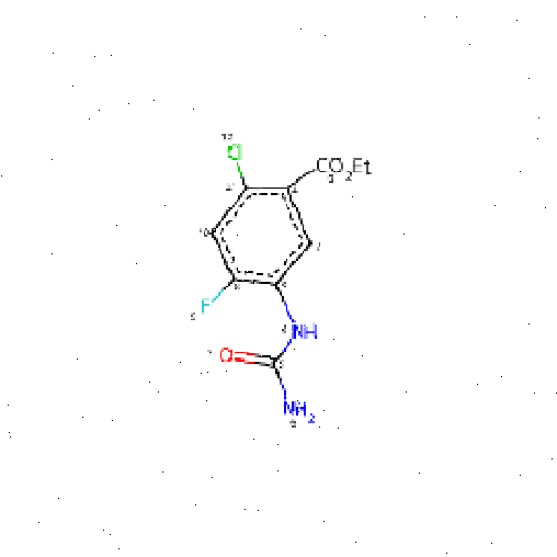 CCOC(=O)c1cc(NC(N)=O)c(F)cc1Cl